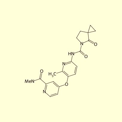 CNC(=O)c1cc(Oc2ccc(NC(=O)N3CCC4(CC4)C3=O)nc2C)ccn1